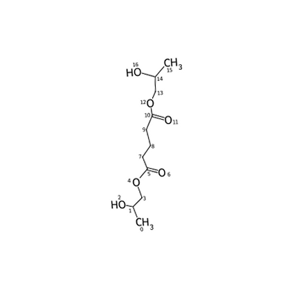 CC(O)COC(=O)CCCC(=O)OCC(C)O